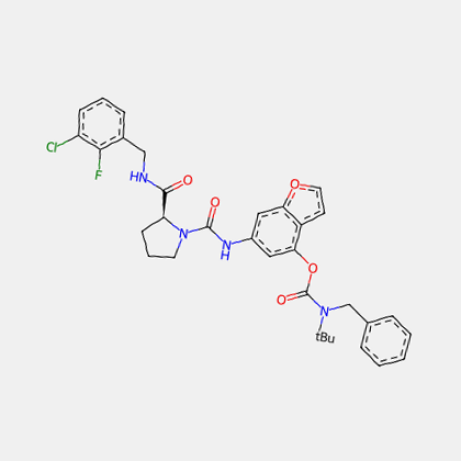 CC(C)(C)N(Cc1ccccc1)C(=O)Oc1cc(NC(=O)N2CCC[C@H]2C(=O)NCc2cccc(Cl)c2F)cc2occc12